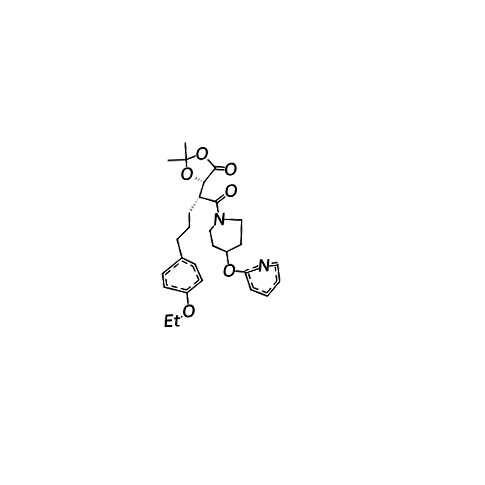 CCOc1ccc(CCC[C@@H](C(=O)N2CCC(Oc3ccccn3)CC2)[C@@H]2OC(C)(C)OC2=O)cc1